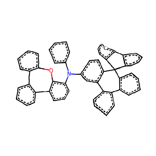 c1ccc(N(c2ccc3c(c2)-c2ccccc2-c2ccccc2C32c3ccccc3-c3ccccc32)c2cccc3c2Oc2ccccc2-c2ccccc2-3)cc1